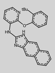 CC(C)(C)c1ccccc1Oc1ncccc1Nc1nc2cc3ccccc3cc2[nH]1